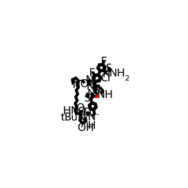 Cc1ncsc1-c1ccc([C@H](C)NC(=O)[C@@H]2C[C@@H](O)CN2C(=O)[C@@H](NC(=O)CCCCCCN2CCC[C@H]2COc2nc(N3C4CCC3CNC4)c3cc(Cl)c(-c4ccc(F)c5sc(N)nc45)c(F)c3n2)C(C)(C)C)cc1